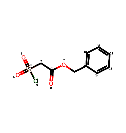 O=C(CS(=O)(=O)Cl)OCc1ccccc1